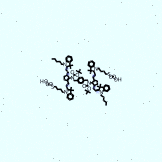 CCCCCN1/C(=C/C=C2\CCC(/C=C/C3=[N+](CCCCSOOO)c4ccccc4C3(C)C)=C2N(Cc2ccc(CN(C(=O)OC(C)(C)C)C3=C(/C=C/C4=[N+](CCCCSOOO)c5ccccc5C4(C)C)CC/C3=C\C=C3\N(CCCCC)c4ccccc4C3(C)C)cc2)C(=O)OC(C)(C)C)C(C)(C)c2ccccc21